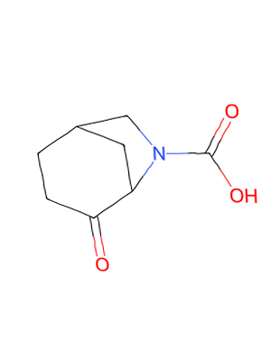 O=C1CCC2CC1N(C(=O)O)C2